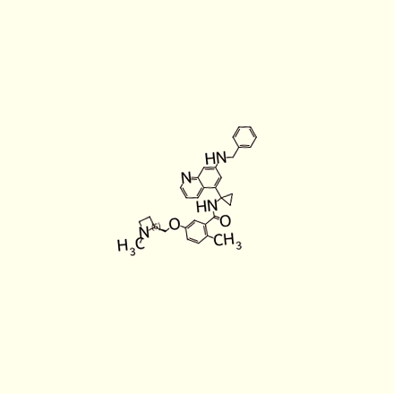 Cc1ccc(OC[C@@H]2CCN2C)cc1C(=O)NC1(c2cc(NCc3ccccc3)cc3ncccc23)CC1